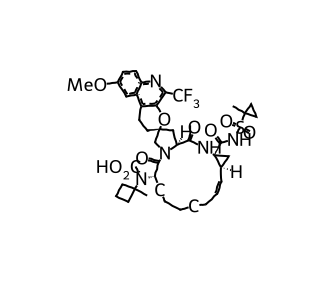 COc1ccc2nc(C(F)(F)F)c3c(c2c1)CC[C@]1(C[C@H]2C(=O)N[C@]4(C(=O)NS(=O)(=O)C5(C)CC5)C[C@H]4/C=C\CCCCC[C@H](N(C(=O)O)C4(C)CCC4)C(=O)N2C1)O3